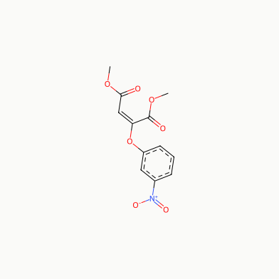 COC(=O)C=C(Oc1cccc([N+](=O)[O-])c1)C(=O)OC